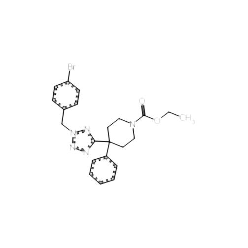 CCOC(=O)N1CCC(c2ccccc2)(c2nnn(Cc3ccc(Br)cc3)n2)CC1